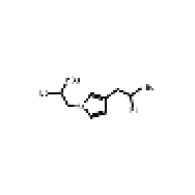 CCCCC(CC)CC1=C[SH](CC(CC)CCCC)C=C1